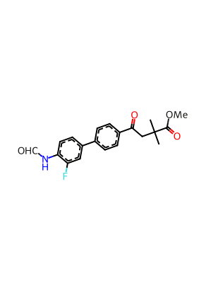 COC(=O)C(C)(C)CC(=O)c1ccc(-c2ccc(NC=O)c(F)c2)cc1